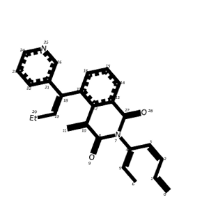 C=C/C=C\C(=C/C)N1C(=O)C(=C)c2c(cccc2/C(=C/CC)c2cccnc2)C1=O